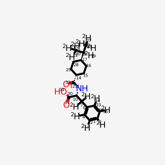 [2H]c1c([2H])c([2H])c(C([2H])([2H])[C@@H](NC(=O)[C@H]2CC[C@H](C([2H])(C([2H])([2H])[2H])C([2H])([2H])[2H])CC2)C(=O)O)c([2H])c1[2H]